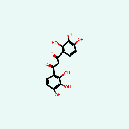 O=C(CC(=O)c1ccc(O)c(O)c1O)c1ccc(O)c(O)c1O